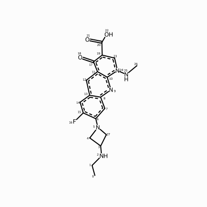 CCNC1CN(c2cc3nc4c(cc3cc2F)c(=O)c(C(=O)O)cn4NC)C1